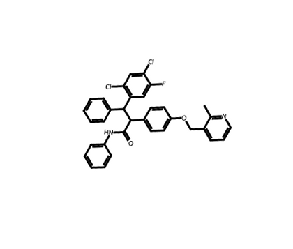 Cc1ncccc1COc1ccc(C(C(=O)Nc2ccccc2)C(c2ccccc2)c2cc(F)c(Cl)cc2Cl)cc1